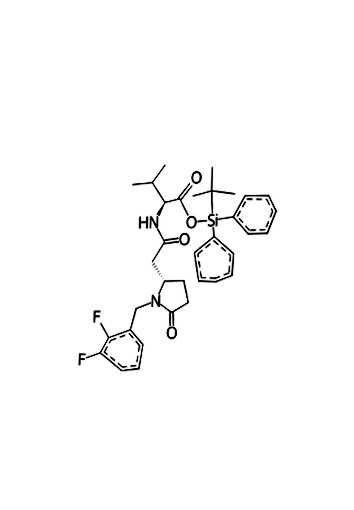 CC(C)[C@H](NC(=O)C[C@@H]1CCC(=O)N1Cc1cccc(F)c1F)C(=O)O[Si](c1ccccc1)(c1ccccc1)C(C)(C)C